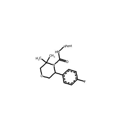 CCCCCNC(=O)N1C(c2ccc(F)cc2)COCC1(C)C